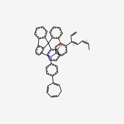 C=C/C(=C\C=C/C)c1ccc(N(c2ccc(C3=CCC=CC=C3)cc2)c2cccc3c2C2(c4ccccc4Oc4ccccc42)c2ccccc2-3)cc1